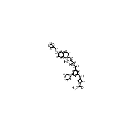 CC(=O)N1CC(Nc2cc(C(=O)NC[C@H](O)CN3CCc4cc(OCc5cnco5)ccc4C3)nc(N3CCOCC3)n2)C1